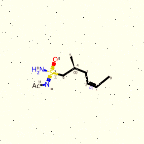 C/C=C\C[C@H](C)C[S@@](N)(=O)=NC(C)=O